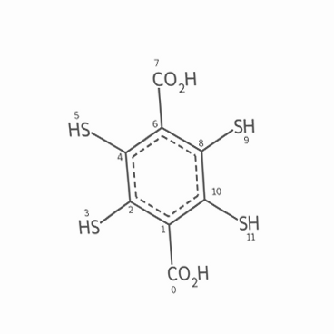 O=C(O)c1c(S)c(S)c(C(=O)O)c(S)c1S